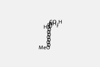 COCCOCCOCCOCCOCCOCCOCCOCCNC(=O)c1cccc(C[C@H](N)C(=O)O)c1